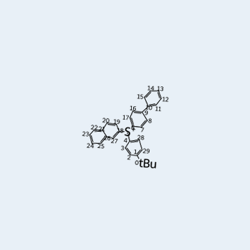 CC(C)(C)c1ccc([S+](c2ccc(-c3ccccc3)cc2)c2ccc3ccccc3c2)cc1